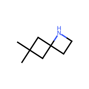 CC1(C)CC2(CCN2)C1